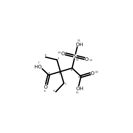 CCC(CC)(C(=O)O)C(C(=O)O)S(=O)(=O)O